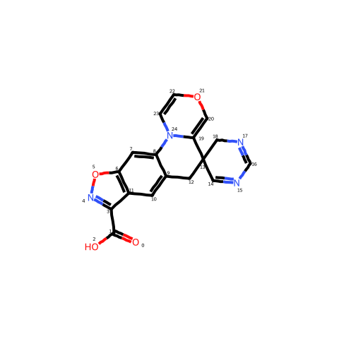 O=C(O)c1noc2cc3c(cc12)CC1(C=NC=NC1)C1=COC=CN13